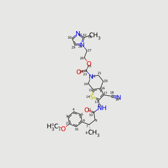 COc1cccc([C@@H](C)CC(=O)Nc2sc3c(c2C#N)CCN(C(=O)OCCn2ccnc2C)C3)c1